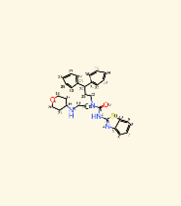 O=C(Nc1nc2ccccc2s1)N(CCNC1CCOCC1)CCC(c1ccccc1)c1ccccc1